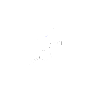 C=C1CCC(C(=C)N(C)CC)C1